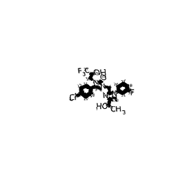 CC(O)c1nc(Cn2cc(-c3ccc(Cl)cc3)n(CC(O)C(F)(F)F)c2=O)n(-c2cccc(F)c2)n1